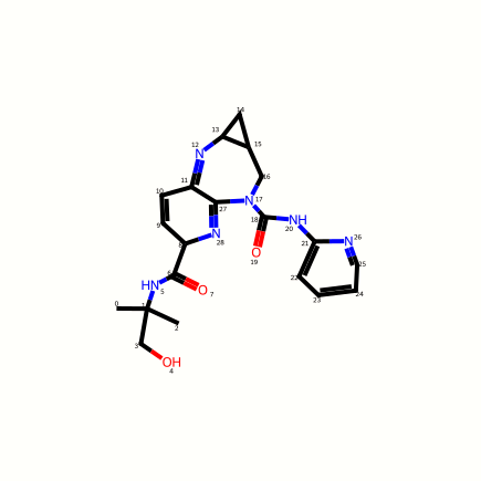 CC(C)(CO)NC(=O)C1C=CC2=NC3CC3CN(C(=O)Nc3ccccn3)C2=N1